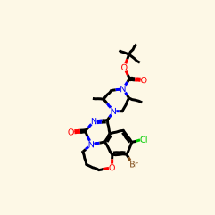 CC1CN(c2nc(=O)n3c4c(c(Br)c(Cl)cc24)OCCC3)C(C)CN1C(=O)OC(C)(C)C